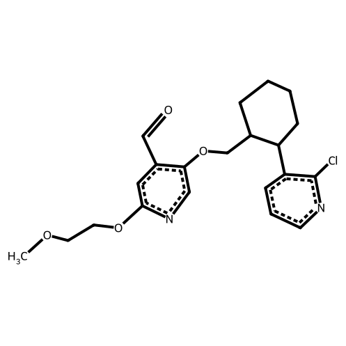 COCCOc1cc(C=O)c(OCC2CCCCC2c2cccnc2Cl)cn1